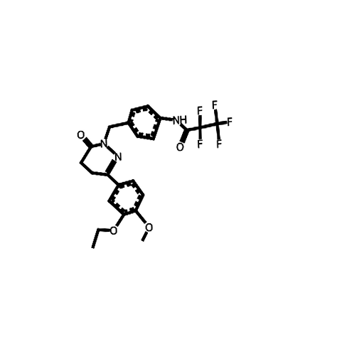 CCOc1cc(C2=NN(Cc3ccc(NC(=O)C(F)(F)C(F)(F)F)cc3)C(=O)CC2)ccc1OC